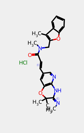 C/N=C1/Nc2ncc(/C=C/C(=O)N(C)Cc3oc4ccccc4c3C)cc2OC1(C)C.Cl